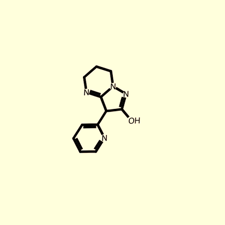 OC1=NN2CCCN=C2C1c1ccccn1